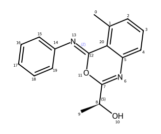 Cc1cccc2nc([C@H](C)O)o/c(=N\c3ccccc3)c12